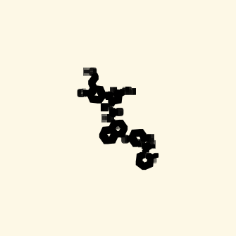 C[C@H]1CCCCN1c1nnc2ccc(O[C@@H]3CC[C@H](NC(=O)Nc4cc(C(C)(C)C)nn4-c4ccc(Cl)c(CCO)c4)c4ccccc43)cn12